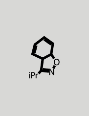 CC(C)C1=NOC2C=CC=CC12